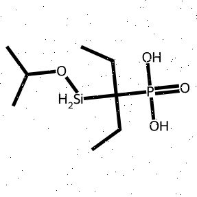 CCC(CC)([SiH2]OC(C)C)P(=O)(O)O